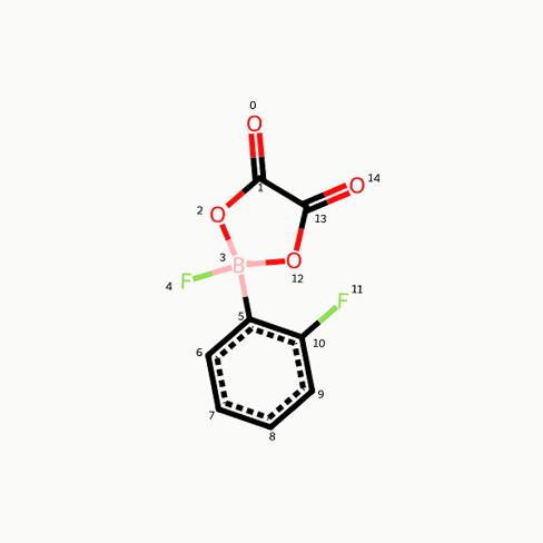 O=C1O[B-](F)(c2ccccc2F)OC1=O